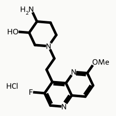 COc1ccc2ncc(F)c(CCN3CCC(N)C(O)C3)c2n1.Cl